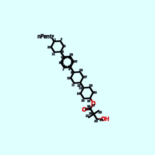 CCCCCC1CCC(c2ccc(C3CCC(C4CCC(OC(=O)C(C)(C)CO)CC4)CC3)cc2)CC1